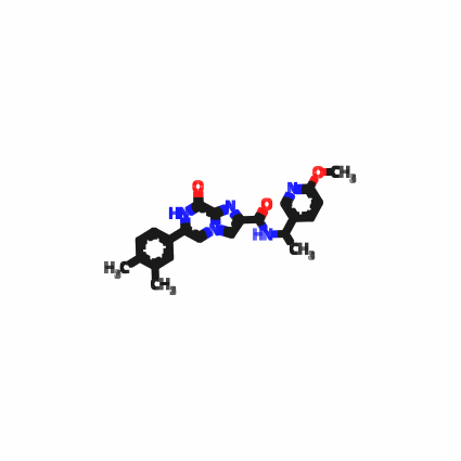 COc1ccc(C(C)NC(=O)c2cn3cc(-c4ccc(C)c(C)c4)[nH]c(=O)c3n2)cn1